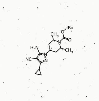 CC1CC(n2nc(C3CC3)c(C#N)c2N)CC(C)N1C(=O)OC(C)(C)C